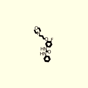 O=C(Nc1ccccc1)Nc1ccc(F)c(OCCCN2CCOCC2)c1